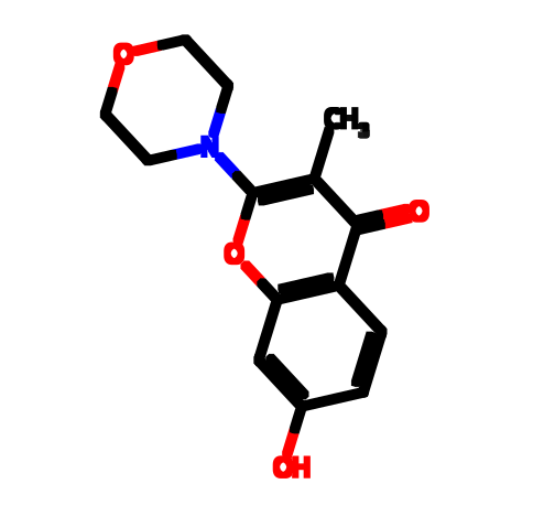 Cc1c(N2CCOCC2)oc2cc(O)ccc2c1=O